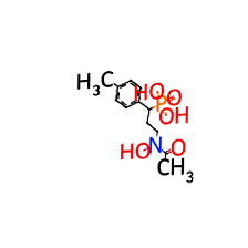 CC(=O)N(O)CCC(c1ccc(C)cc1)P(=O)(O)O